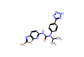 CC(C)N(C(=O)Nc1ccc2nc(S)sc2n1)c1ccc(-c2nn[nH]n2)cc1